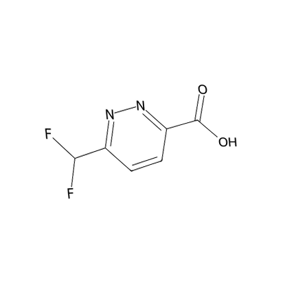 O=C(O)c1ccc(C(F)F)nn1